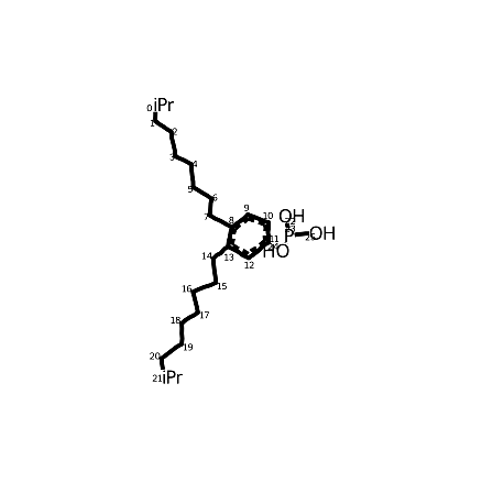 CC(C)CCCCCCCc1ccccc1CCCCCCCC(C)C.OP(O)O